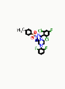 Cc1ccc(S(=O)(=O)N/N=C(/c2c(Cl)cc(F)cc2Cl)N2CCN(c3c(F)cccc3F)CC23CC3)cc1